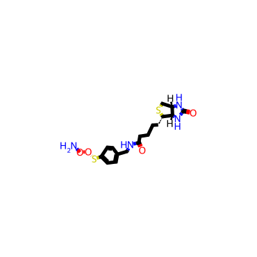 NOOSc1ccc(CNC(=O)CCCC[C@@H]2SC[C@@H]3NC(=O)N[C@@H]32)cc1